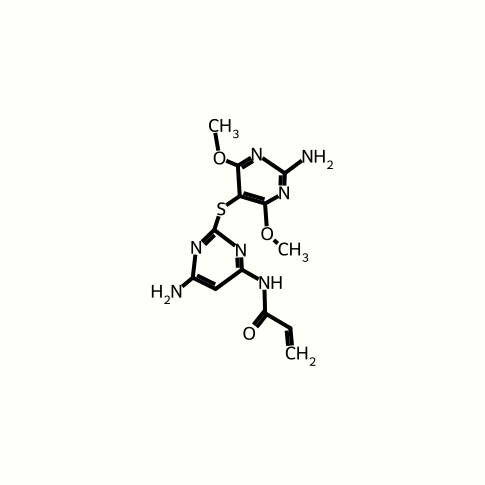 C=CC(=O)Nc1cc(N)nc(Sc2c(OC)nc(N)nc2OC)n1